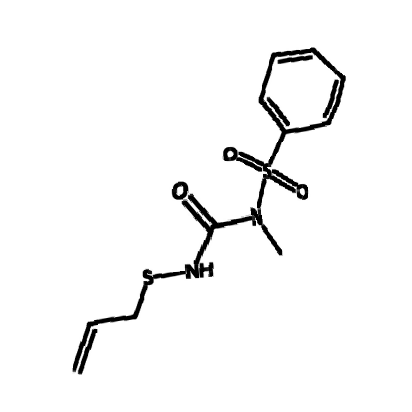 C=CCSNC(=O)N(C)S(=O)(=O)c1ccccc1